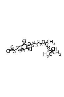 CC(=NOCC(C)(C)C)OCCCCCOc1c(Cl)cc(OCC=C(Cl)Cl)cc1Cl